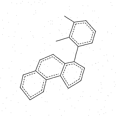 Cc1cccc(-c2cccc3c2ccc2ccccc23)c1C